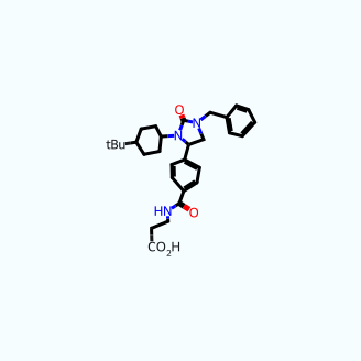 CC(C)(C)C1CCC(N2C(=O)N(Cc3ccccc3)CC2c2ccc(C(=O)NCCC(=O)O)cc2)CC1